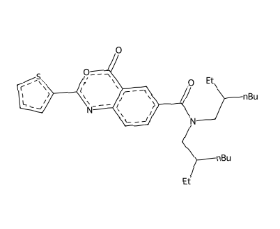 CCCCC(CC)CN(CC(CC)CCCC)C(=O)c1ccc2nc(-c3cccs3)oc(=O)c2c1